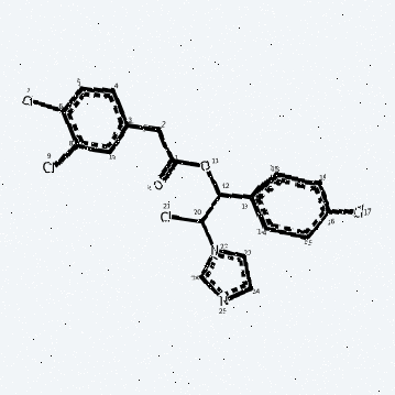 O=C(Cc1ccc(Cl)c(Cl)c1)OC(c1ccc(Cl)cc1)C(Cl)n1ccnc1